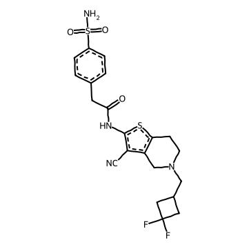 N#Cc1c(NC(=O)Cc2ccc(S(N)(=O)=O)cc2)sc2c1CN(CC1CC(F)(F)C1)CC2